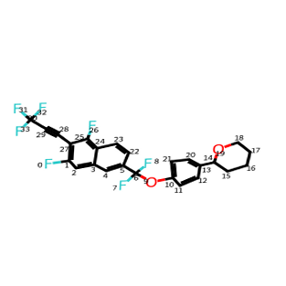 Fc1cc2cc(C(F)(F)Oc3ccc(C4CCCCO4)cc3)ccc2c(F)c1C#CC(F)(F)F